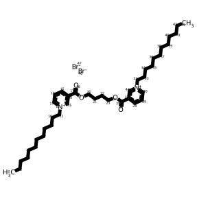 CCCCCCCCCCCC[n+]1cccc(C(=O)OCCCCOC(=O)c2ccc[n+](CCCCCCCCCCCC)c2)c1.[Br-].[Br-]